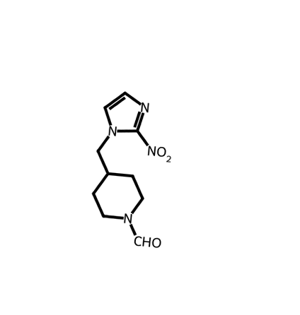 O=CN1CCC(Cn2ccnc2[N+](=O)[O-])CC1